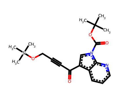 CC(C)(C)OC(=O)n1cc(C(=O)C#CCO[Si](C)(C)C)c2cccnc21